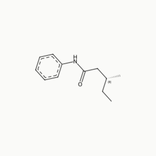 CC[C@@H](C)CC(=O)Nc1ccccc1